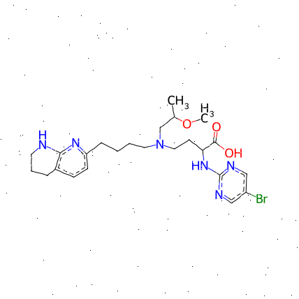 COC(C)CN(CCCCc1ccc2c(n1)NCCC2)CCC(Nc1ncc(Br)cn1)C(=O)O